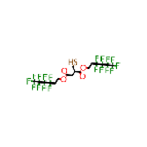 O=C(CC(CS)C(=O)OCCC(F)(F)C(F)(F)C(F)(F)C(F)(F)F)OCCC(F)(F)C(F)(F)C(F)(F)C(F)(F)F